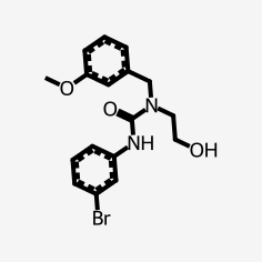 COc1cccc(CN(CCO)C(=O)Nc2cccc(Br)c2)c1